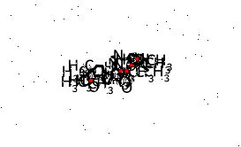 CN[C@@](C)(CO[C@H]1[C@H](n2ncnc2-c2ccncc2)C[C@@]23COC[C@@]1(C)[C@@H]2CC[C@H]1C3=CC[C@@]2(C)[C@H](C(=O)O)[C@@](C)([C@H](C)C(C)C)CC[C@]12C)C(C)(C)C